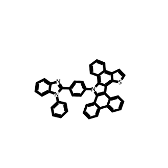 c1ccc(-n2c(-c3ccc(-n4c5c6ccccc6c6ccccc6c5c5c6sccc6c6ccccc6c54)cc3)nc3ccccc32)cc1